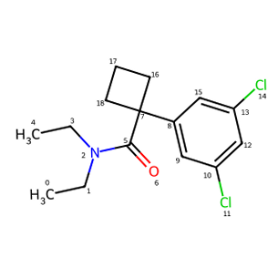 CCN(CC)C(=O)C1(c2cc(Cl)cc(Cl)c2)CCC1